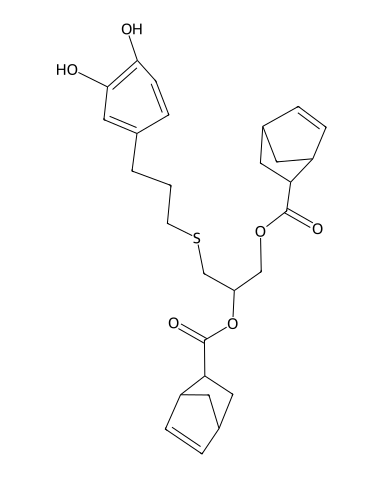 O=C(OCC(CSCCCc1ccc(O)c(O)c1)OC(=O)C1CC2C=CC1C2)C1CC2C=CC1C2